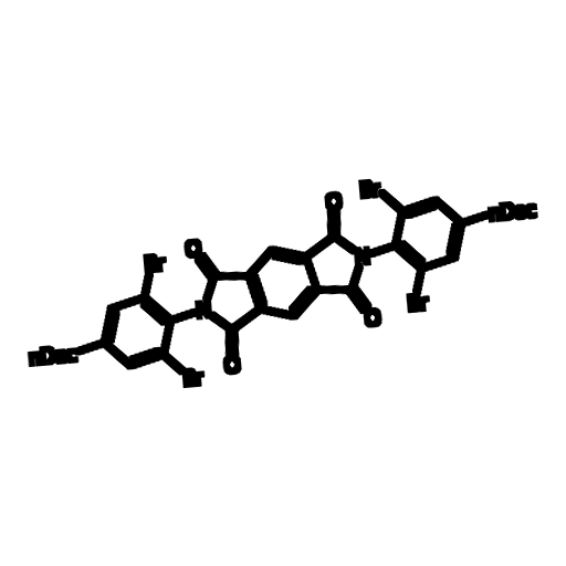 CCCCCCCCCCc1cc(Br)c(-n2c(=O)c3cc4c(=O)n(-c5c(Br)cc(CCCCCCCCCC)cc5Br)c(=O)c4cc3c2=O)c(Br)c1